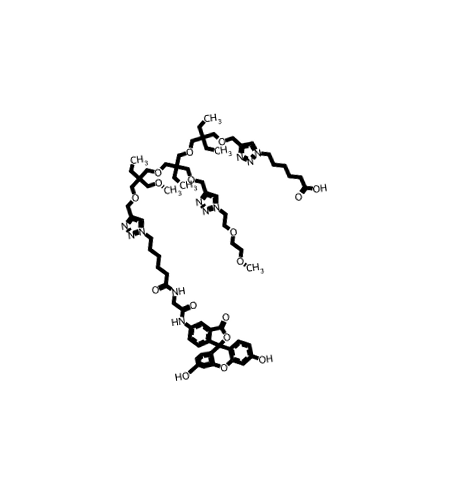 CCC(CC)(COCc1cn(CCCCCC(=O)O)nn1)COCC(CC)(COCc1cn(CCOCCOC)nn1)COCC(CC)(COC)COCc1cn(CCCCCC(=O)NCC(=O)Nc2ccc3c(c2)C(=O)OC32c3ccc(O)cc3Oc3cc(O)ccc32)nn1